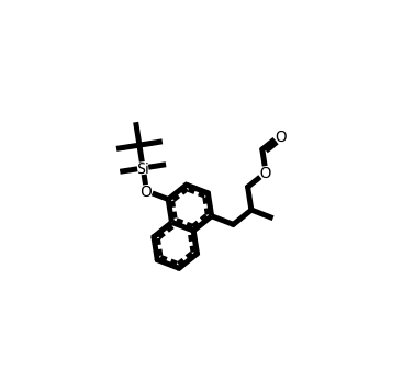 CC(COC=O)Cc1ccc(O[Si](C)(C)C(C)(C)C)c2ccccc12